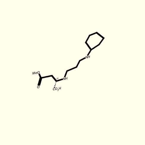 COC(=O)C[C@H](NCCCNC1CCCCC1)C(=O)O